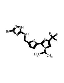 CC(C)n1cc(C(F)(F)F)nc1-c1ccc(CNc2nc(Br)n[nH]2)s1